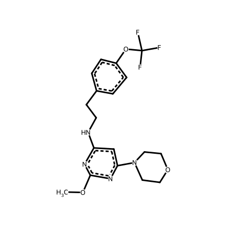 COc1nc(NCCc2ccc(OC(F)(F)F)cc2)cc(N2CCOCC2)n1